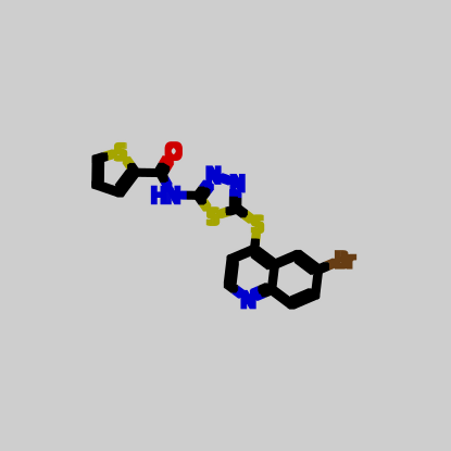 O=C(Nc1nnc(Sc2ccnc3ccc(Br)cc23)s1)c1cccs1